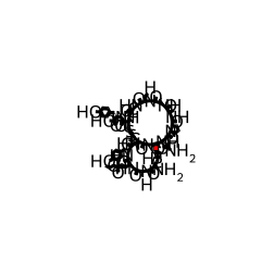 CCOC(=O)CCC1NC(=O)[C@H](C)NC(=O)C(N)CSSCC2NC(=O)C(CSSCC(C(=O)N[C@@H](Cc3ccc(O)cc3)C(=O)O)NC(=O)CNC(=O)C(CC)NC(=O)[C@H](C)NC(=O)C(C)NC(=O)C3CCCN3C(=O)[C@H](CC(N)=O)NC2=O)NC(=O)[C@H](Cc2ccc(O)cc2)NC1=O